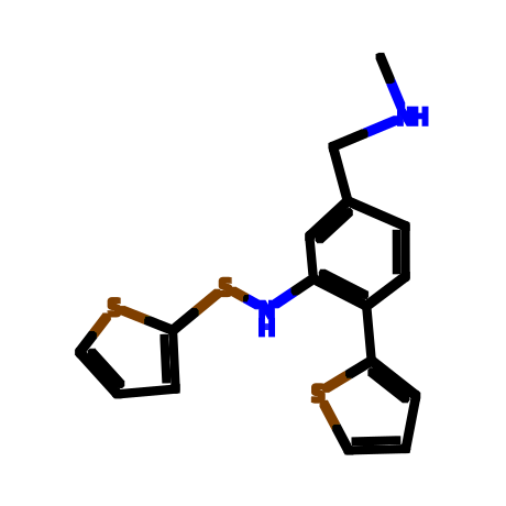 CNCc1ccc(-c2cccs2)c(NSc2cccs2)c1